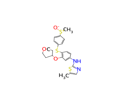 Cc1cnc(Nc2ccc(Sc3ccc([S+](C)[O-])cc3)c(OC3CCOCC3)c2)s1